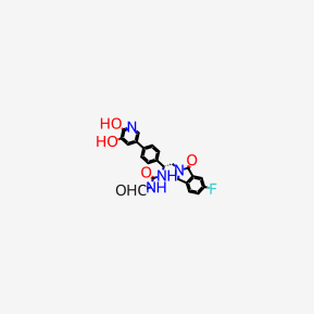 O=CNC(=O)N[C@@H](CN1Cc2ccc(F)cc2C1=O)c1ccc(-c2cnc(O)c(O)c2)cc1